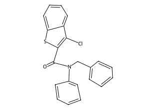 O=C(c1sc2ccccc2c1Cl)N(Cc1ccccc1)c1ccccc1